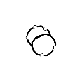 C1=CCC2CCCCCCCCC(C1)CCCCCCCC2